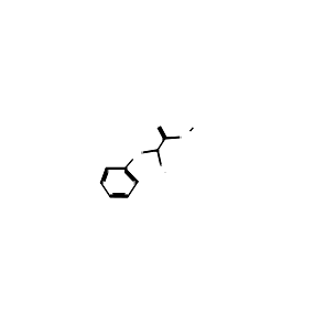 COC(=O)C(Br)Oc1ccccc1